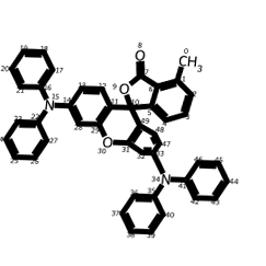 Cc1cccc2c1C(=O)OC21c2ccc(N(c3ccccc3)c3ccccc3)cc2Oc2cc(N(c3ccccc3)c3ccccc3)ccc21